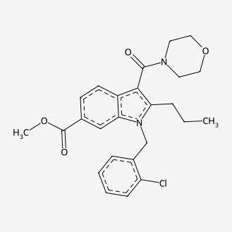 CCCc1c(C(=O)N2CCOCC2)c2ccc(C(=O)OC)cc2n1Cc1ccccc1Cl